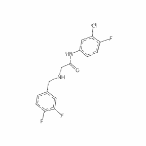 O=C(CNCc1ccc(F)c(F)c1)Nc1ccc(F)c(Cl)c1